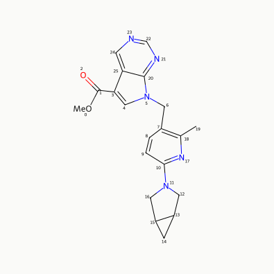 COC(=O)c1cn(Cc2ccc(N3CC4CC4C3)nc2C)c2ncncc12